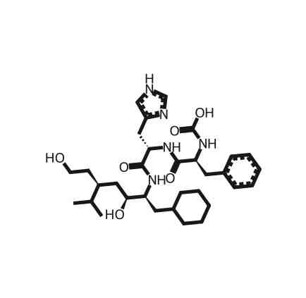 CC(C)[C@@H](CCO)C[C@H](O)[C@H](CC1CCCCC1)NC(=O)[C@H](Cc1c[nH]cn1)NC(=O)[C@H](Cc1ccccc1)NC(=O)O